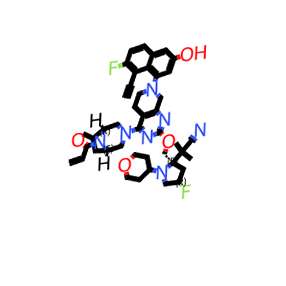 C#Cc1c(F)ccc2cc(O)cc(N3CCc4c(nc(OC[C@]5(C(C)(C)C#N)C[C@@H](F)CN5C5CCOCC5)nc4N4C[C@@H]5CC(C)[C@H](C4)N5C(=O)C=C)C3)c12